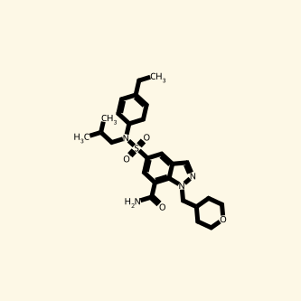 CCC1=CCC(N(CC(C)C)S(=O)(=O)c2cc(C(N)=O)c3c(cnn3CC3CCOCC3)c2)C=C1